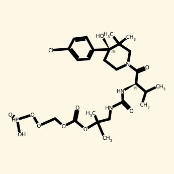 CC(C)[C@@H](NC(=O)NCC(C)(C)OC(=O)OCOO[PH](=O)O)C(=O)N1CC[C@](O)(c2ccc(Cl)cc2)C(C)(C)C1